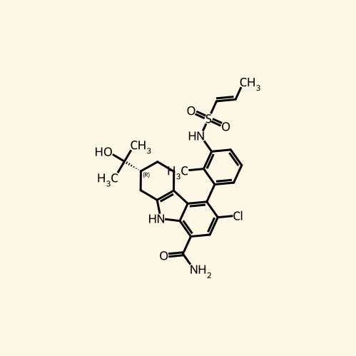 CC=CS(=O)(=O)Nc1cccc(-c2c(Cl)cc(C(N)=O)c3[nH]c4c(c23)CC[C@@H](C(C)(C)O)C4)c1C